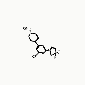 O=CN1CCC(c2cc(Cl)nc(N3CCC(F)(F)C3)c2)CC1